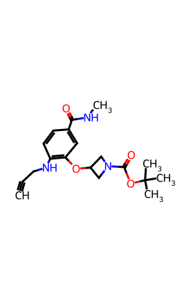 C#CCNc1ccc(C(=O)NC)cc1OC1CN(C(=O)OC(C)(C)C)C1